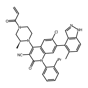 C=CC(=O)N1CCN(c2c(C#N)c(=O)n(-c3ccccc3C(C)C)c3cc(-c4c(C)ccc5[nH]ncc45)c(Cl)cc23)[C@@H](C)C1